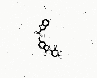 O=C1CCC(N2Cc3cc(CNC(=O)c4cc5ccccc5s4)ccc3C2=O)C(=O)N1